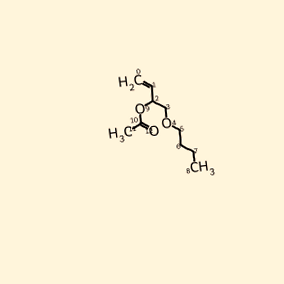 C=CC(COCCCC)OC(C)=O